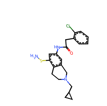 NSc1cc(NC(=O)Cc2ccccc2Cl)cc2c1CCN(CC1CC1)C2